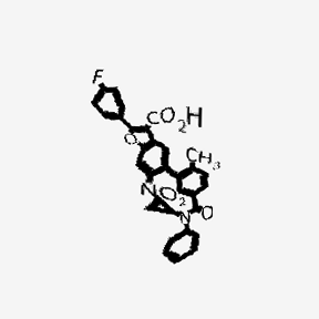 Cc1ccc(C(=O)N(c2ccccc2)C2CC2)cc1-c1cc2c(C(=O)O)c(-c3ccc(F)cc3)oc2cc1[N+](=O)[O-]